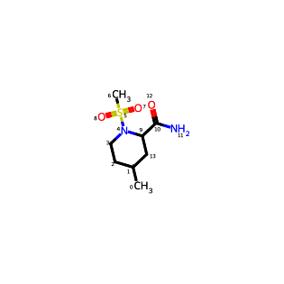 C[C]1CCN(S(C)(=O)=O)C(C(N)=O)C1